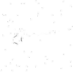 CCCCCCCCCCCCCCOc1cc[c]cc1OC